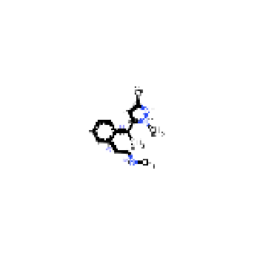 C/N=C/C=c1/cccc/c1=C(/C)c1cc(C(F)(F)F)nn1C